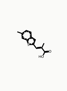 C/C(=C\c1cc2ccc(C)cc2s1)C(=O)O